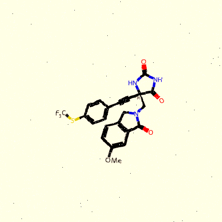 COc1ccc2c(c1)C(=O)N(C[C@@]1(C#Cc3ccc(SC(F)(F)F)cc3)NC(=O)NC1=O)C2